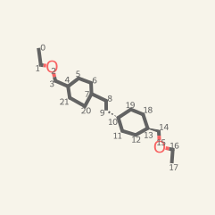 CCOCC1CCC(CC[C@H]2CC[C@H](COCC)CC2)CC1